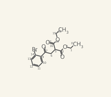 CCOC(=O)C(CC(=O)c1ccccc1Br)C(=O)OCC